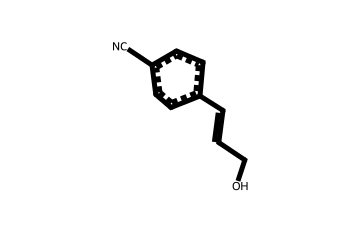 N#Cc1ccc(/C=C/CO)cc1